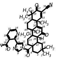 CC1(C)CC[C@]2(C(=O)n3cnc(-c4ncccc4C(N)=O)c3)CC[C@]3(C)[C@H](C(=O)C=C4[C@@]5(C)C=C(C#N)C(=O)C(C)(C)C5CC[C@]43C)C2C1